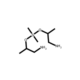 CC(CN)O[Si](C)(C)OC(C)CN